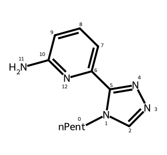 CCCCCn1cnnc1-c1cccc(N)n1